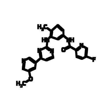 COc1cncc(-c2ccnc(Nc3cc(NC(=O)c4ccc(F)cn4)ccc3C)n2)c1